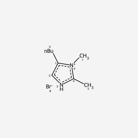 CCCCc1c[nH]c(C)[n+]1C.[Br-]